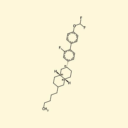 CCCCCC1CC[C@@H]2C[C@H](c3ccc(-c4ccc(OC(F)F)cc4)c(F)c3)CC[C@@H]2C1